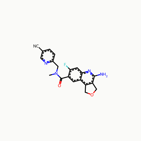 CN(Cc1ccc(C#N)cn1)C(=O)c1cc2c3c(c(N)nc2cc1F)COC3